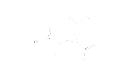 N[C@H](C(=O)O)C1C(C(=O)O)[C@H]1C(=O)O